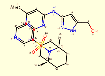 COc1cc(Nc2cc(CO)[nH]n2)nc(NC2C[C@H]3CCC[C@@H](C2)N3S(=O)(=O)c2cccnc2)n1